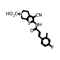 Cc1cc(F)ccc1C=CC(=O)Nc1sc2c(c1C#N)CCN(C(=O)O)C2